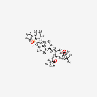 C[C@H](CP(=O)(c1ccccc1)c1ccccc1)C1CCC2/C(=C/C=C3C[C@@H](O[Si](C)(C)C(C)(C)C)C[C@H](O[Si](C)(C)C(C)(C)C)C3)CCC[C@@]21C